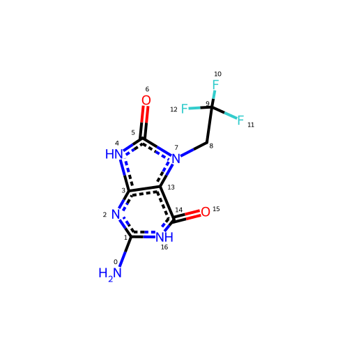 Nc1nc2[nH]c(=O)n(CC(F)(F)F)c2c(=O)[nH]1